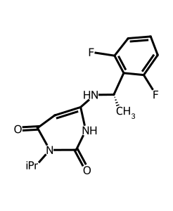 CC(C)n1c(=O)cc(N[C@@H](C)c2c(F)cccc2F)[nH]c1=O